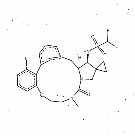 CN1CCOc2cccc(F)c2-c2cccc(c2)C[C@H]2[C@@H](NS(=O)(=O)C(F)F)C3(CC3)CN2C1=O